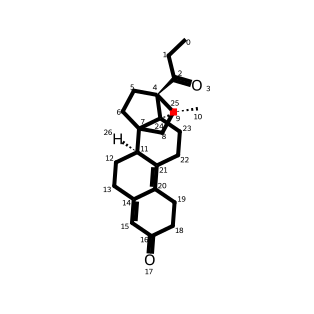 CCC(=O)[C@@]12CCC3(C[C@H]1C)[C@@H]1CCC4=CC(=O)CCC4=C1CC[C@@]32C